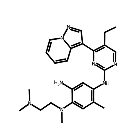 CCc1cnc(Nc2cc(N)c(N(C)CCN(C)C)cc2C)nc1-c1cnn2ccccc12